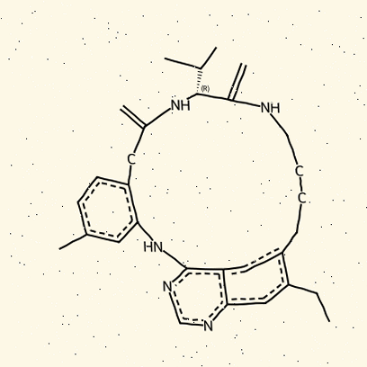 C=C1Cc2ccc(C)cc2Nc2ncnc3cc(CC)c(cc23)CCCCNC(=C)[C@@H](C(C)C)N1